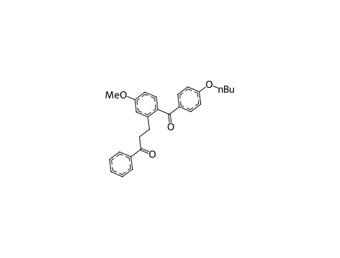 CCCCOc1ccc(C(=O)c2ccc(OC)cc2CCC(=O)c2ccccc2)cc1